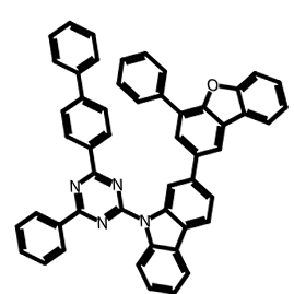 c1ccc(-c2ccc(-c3nc(-c4ccccc4)nc(-n4c5ccccc5c5ccc(-c6cc(-c7ccccc7)c7oc8ccccc8c7c6)cc54)n3)cc2)cc1